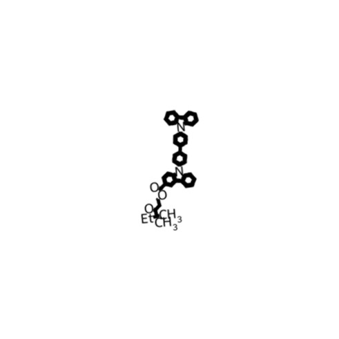 CCC(C)(C)C(=O)CCOC(=O)c1ccc2c(c1)c1ccccc1n2-c1ccc(-c2ccc(-n3c4ccccc4c4ccccc43)cc2)cc1